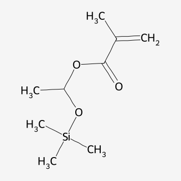 C=C(C)C(=O)OC(C)O[Si](C)(C)C